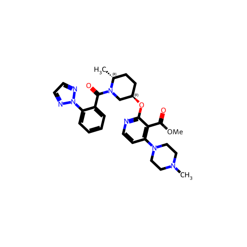 COC(=O)c1c(N2CCN(C)CC2)ccnc1O[C@@H]1CC[C@@H](C)N(C(=O)c2ccccc2-n2nccn2)C1